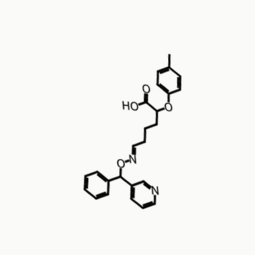 Cc1ccc(OC(CCCC=NOC(c2ccccc2)c2cccnc2)C(=O)O)cc1